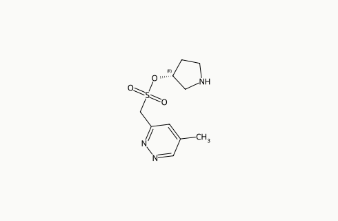 Cc1cnnc(CS(=O)(=O)O[C@@H]2CCNC2)c1